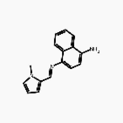 Cn1cccc1/C=N/c1ccc(N)c2ccccc12